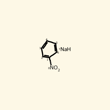 O=[N+]([O-])c1ccccc1.[NaH]